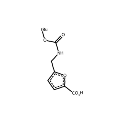 CC(C)(C)OC(=O)NCc1ccc(C(=O)O)o1